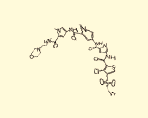 CC(C)CS(=O)(=O)c1csc(C(=O)Nc2cc(C(=O)Nc3cc(C(=O)Nc4cc(C(=O)NCCN5CCOCC5)n(C)c4)n(C)c3)n(C)c2)c1Cl